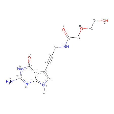 Cn1cc(C#CCNC(=O)COCCO)c2c(=O)[nH]c(N)nc21